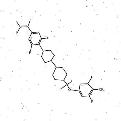 C/C(F)=C(\F)c1cc(F)c(C2CCC(C3CCC(C(F)(F)Oc4cc(F)c(C(F)(F)F)c(F)c4)CC3)CC2)c(F)c1